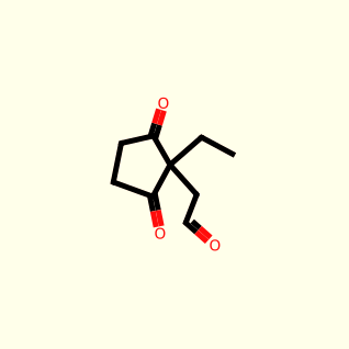 CCC1(CC=O)C(=O)CCC1=O